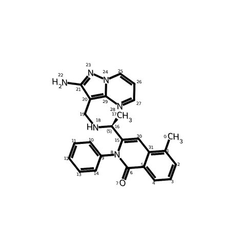 Cc1cccc2c(=O)n(-c3ccccc3)c([C@H](C)NCc3c(N)nn4cccnc34)cc12